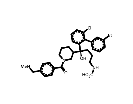 CCc1cccc(-c2c(Cl)cccc2[C@](O)(CCCNC(=O)O)C2CCCN(C(=O)c3ccc(CNC)cc3)C2)c1